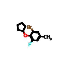 Cc1cc(F)c(OC2CCCC2)c(Br)c1